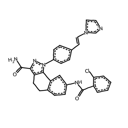 NC(=O)c1nn(-c2ccc(/C=C/n3ccnc3)cc2)c2c1CCc1ccc(NC(=O)c3ccccc3Cl)cc1-2